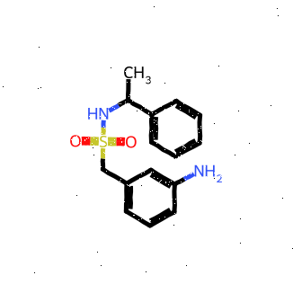 CC(NS(=O)(=O)Cc1cccc(N)c1)c1ccccc1